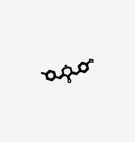 CCc1ccc(/C=C2\CSC/C(=C\c3ccc(C)cc3)C2=O)cc1